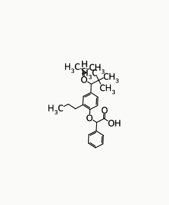 CCCc1cc(C(O[SiH](C)C)C(C)(C)C)ccc1OC(C(=O)O)c1ccccc1